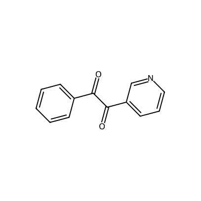 O=C(C(=O)c1cccnc1)c1ccccc1